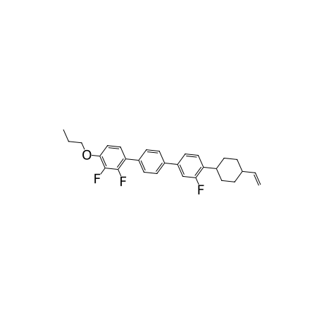 C=CC1CCC(c2ccc(-c3ccc(-c4ccc(OCCC)c(F)c4F)cc3)cc2F)CC1